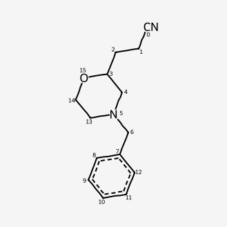 N#CCCC1CN(Cc2ccccc2)CCO1